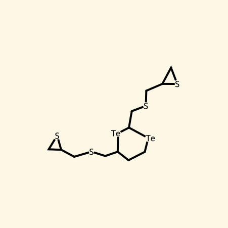 C1CC(CSCC2CS2)[Te]C(CSCC2CS2)[Te]1